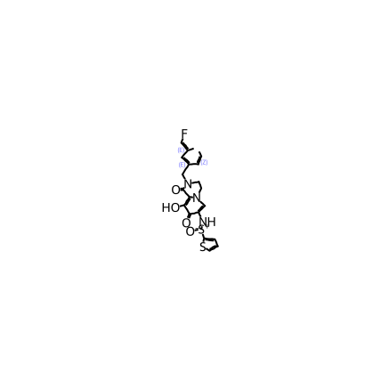 C\C=C/C(=C\C(C)=C\F)CN1CCn2cc(N[S+]([O-])c3cccs3)c(=O)c(O)c2C1=O